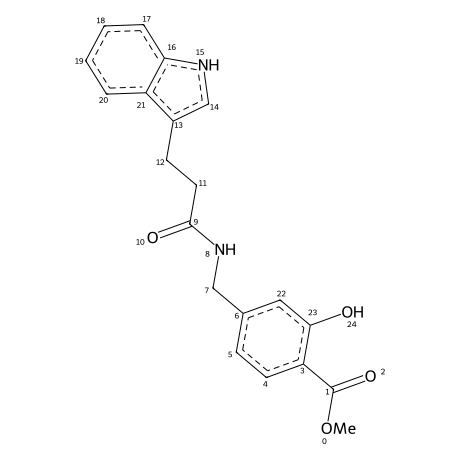 COC(=O)c1ccc(CNC(=O)CCc2c[nH]c3ccccc23)cc1O